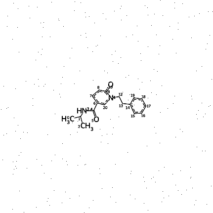 CC(C)NC(=O)c1ccc(=O)n(CCc2ccccc2)c1